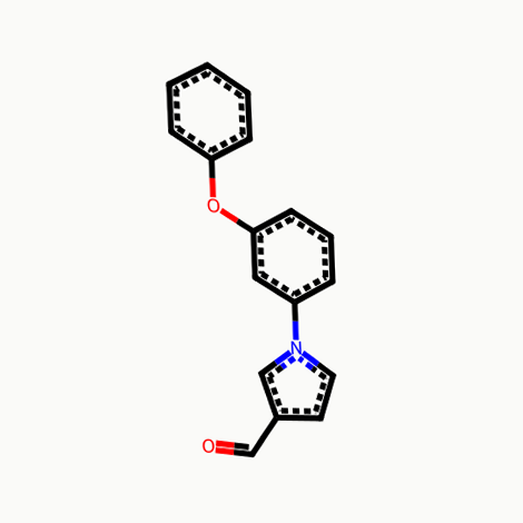 O=Cc1ccn(-c2cccc(Oc3ccccc3)c2)c1